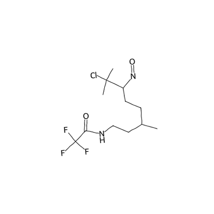 CC(CCNC(=O)C(F)(F)F)CCC(N=O)C(C)(C)Cl